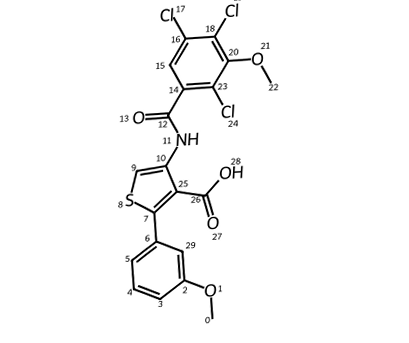 COc1cccc(-c2scc(NC(=O)c3cc(Cl)c(Cl)c(OC)c3Cl)c2C(=O)O)c1